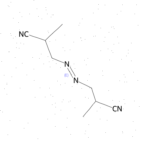 CC(C#N)C/N=N/CC(C)C#N